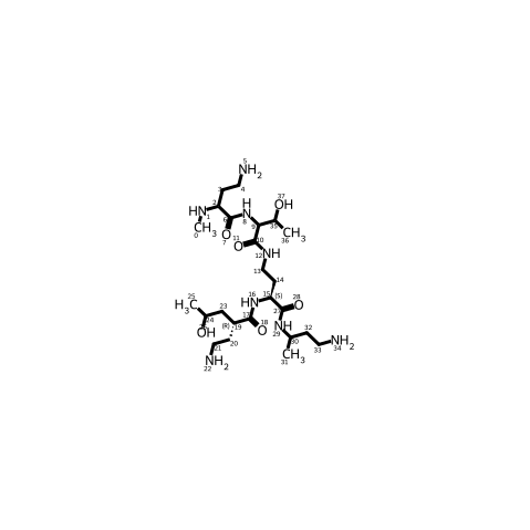 CNC(CCN)C(=O)NC(C(=O)NCC[C@H](NC(=O)[C@H](CCN)CC(C)O)C(=O)NC(C)CCN)C(C)O